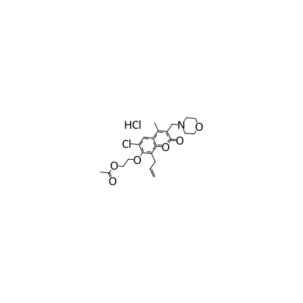 C=CCc1c(OCCOC(C)=O)c(Cl)cc2c(C)c(CN3CCOCC3)c(=O)oc12.Cl